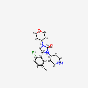 Cc1ccc(F)c([C@@H]2CN(C3CCOCC3)C(=O)N2C2CCNCC2)c1